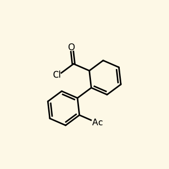 CC(=O)c1ccccc1C1=CC=CCC1C(=O)Cl